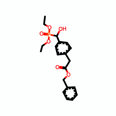 CCOP(=O)(OCC)C(O)c1ccc(CC(=O)OCc2ccccc2)cc1